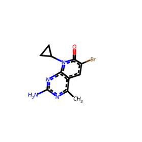 Cc1nc(N)nc2c1cc(Br)c(=O)n2C1CC1